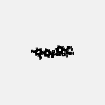 Cc1c(NS(=O)(=O)c2ccc(-c3ccc(F)cc3F)cc2)cccc1[C@H](N)CO